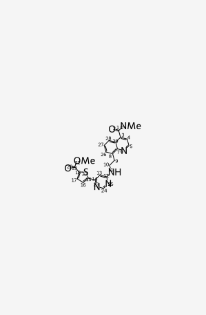 CNC(=O)c1ccnc2c(CCNc3cc(-c4ccc(C(=O)OC)s4)ncn3)cccc12